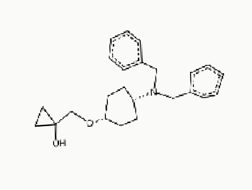 OC1(CO[C@H]2CC[C@@H](N(Cc3ccccc3)Cc3ccccc3)CC2)CC1